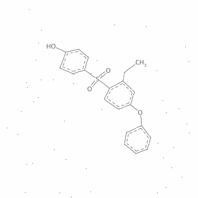 CCc1cc(Oc2ccccc2)ccc1S(=O)(=O)c1ccc(O)cc1